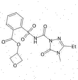 CCc1nn(C(=O)NS(=O)(=O)c2ccccc2C(=O)OC2COC2)c(=O)n1C